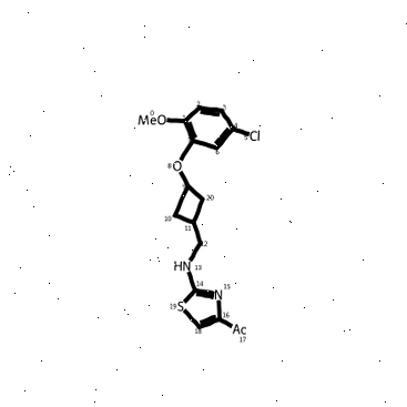 COc1ccc(Cl)cc1OC1CC(CNc2nc(C(C)=O)cs2)C1